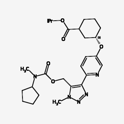 CC(C)OC(=O)C1CCC[C@H](Oc2ccc(-c3nnn(C)c3COC(=O)N(C)C3CCCC3)nc2)C1